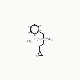 C[N+](C)(CCC1CO1)Cc1ccccc1.[Cl-]